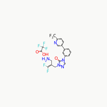 NCC(Cn1ncn(-c2cccc(-c3ccc(C(F)(F)F)nc3)c2)c1=O)=C(F)F.O=C(O)C(F)(F)F